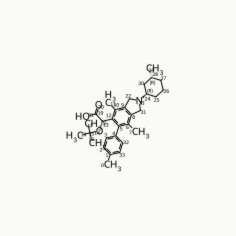 Cc1ccc(-c2c(C)c3c(c(C)c2[C@H](OC(C)(C)C)C(=O)O)CN([C@@H]2CCC[C@@H](C)C2)C3)cc1